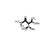 CO[C@H](C)[C@@H](C(=O)N(C)C)N(C(=O)O)C(C)(C)C